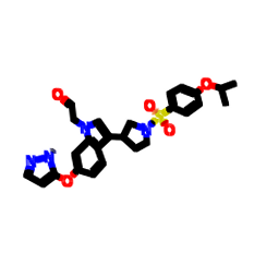 CC(C)Oc1ccc(S(=O)(=O)N2CCC(c3cn(CC=O)c4cc(Oc5ccnn5C)ccc34)C2)cc1